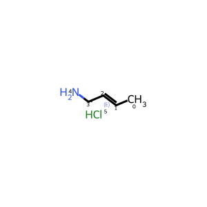 C/C=C/[CH]N.Cl